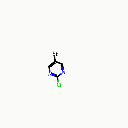 [CH2]Cc1cnc(Cl)nc1